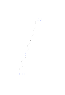 NCCCCCCCCNCCCCN